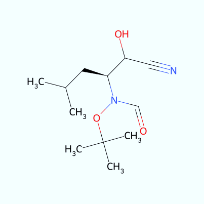 CC(C)C[C@@H](C(O)C#N)N(C=O)OC(C)(C)C